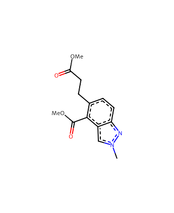 COC(=O)CCc1ccc2nn(C)cc2c1C(=O)OC